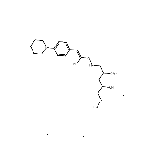 COC(CNS/C(C#N)=C/c1ccc(N2CCCCC2)cc1)CC(O)CCO